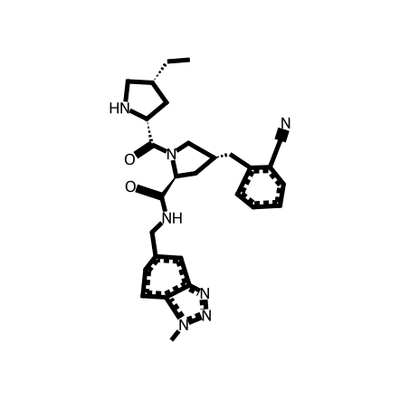 CC[C@H]1CN[C@@H](C(=O)N2C[C@H](Cc3ccccc3C#N)C[C@H]2C(=O)NCc2ccc3c(c2)nnn3C)C1